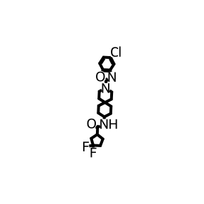 O=C(NC1CCC2(CC1)CCN(c1nc3cc(Cl)ccc3o1)CC2)C1CCC(F)(F)C1